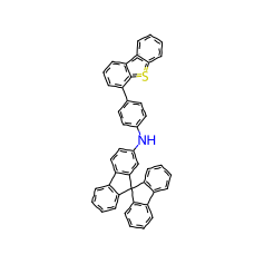 c1ccc2c(c1)-c1ccccc1C21c2ccccc2-c2ccc(Nc3ccc(-c4cccc5c4sc4ccccc45)cc3)cc21